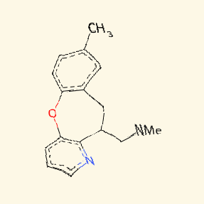 CNCC1Cc2cc(C)ccc2Oc2cccnc21